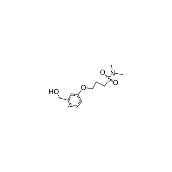 CN(C)S(=O)(=O)CCCOc1cc[c]c(CO)c1